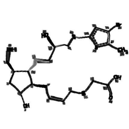 B=C[C@@H]1CC(O)[C@H](C/C=C\CSCC(=O)O)[C@H]1/C=C/[C@@H](O)CSc1cc(Br)c(C)s1